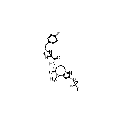 CN1C(=O)[C@H](NC(=O)c2ncn(Cc3ccc(F)cc3)n2)CCn2nc([C@H]3CC3(F)F)cc21